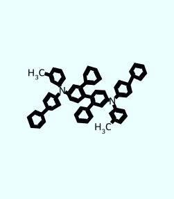 Cc1cccc(N(c2ccc(-c3ccccc3)cc2)c2ccc(-c3ccc(N(c4ccc(-c5ccccc5)cc4)c4cccc(C)c4)cc3-c3ccccc3)c(-c3ccccc3)c2)c1